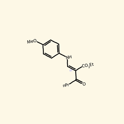 CCCC(=O)/C(=C/Nc1ccc(OC)cc1)C(=O)OCC